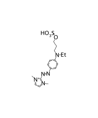 CCN(CCCOS(=O)(=O)O)c1ccc(N=Nc2n(C)cc[n+]2C)cc1